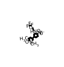 Cc1cc(-c2ccc([N+](=O)[O-])c(NCCOC(F)(F)F)c2)cn(C)c1=O